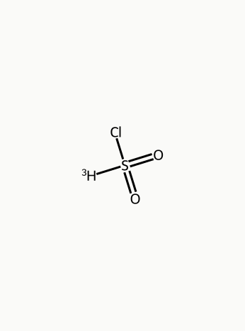 [3H]S(=O)(=O)Cl